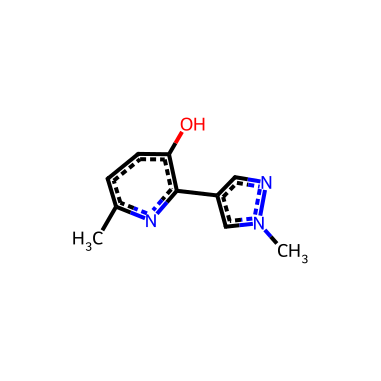 Cc1ccc(O)c(-c2cnn(C)c2)n1